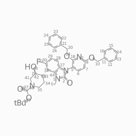 Cn1c(=O)n(-c2ccc(OCc3ccccc3)nc2OCc2ccccc2)c2ccc(F)c([C@@H]3CCN(C(=O)OC(C)(C)C)C[C@H]3O)c21